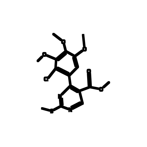 COC(=O)c1cnc(SC)nc1-c1cc(OC)c(OC)c(OC)c1Cl